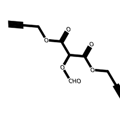 C#CCOC(=O)C(OC=O)C(=O)OCC#C